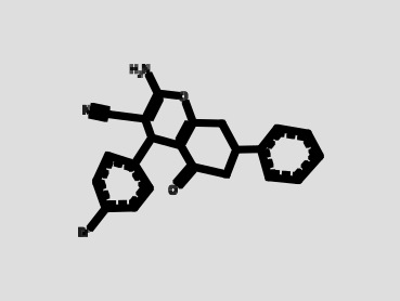 N#CC1=C(N)OC2=C(C(=O)CC(c3ccccc3)C2)C1c1ccc(Br)cc1